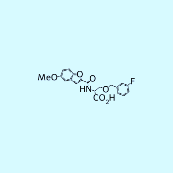 COc1ccc2oc(C(=O)NC(COCc3cccc(F)c3)C(=O)O)cc2c1